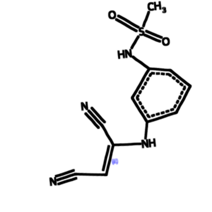 CS(=O)(=O)Nc1cccc(N/C(C#N)=C/C#N)c1